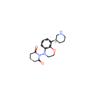 O=C1CCCC(=O)N1N1CCOc2c([C@@H]3CCCNC3)cccc21